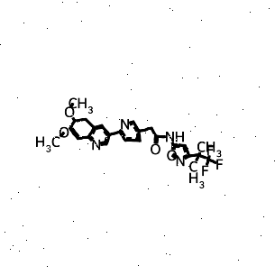 COC1=Cc2ncc(-c3ccc(CC(=O)Nc4cc(C(C)(C)C(F)(F)F)no4)cn3)cc2CC1OC